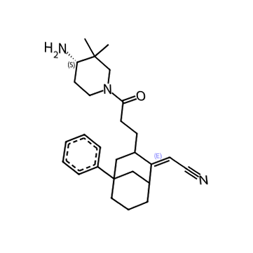 CC1(C)CN(C(=O)CCC2CC3(c4ccccc4)CCCC(C3)/C2=C\C#N)CC[C@@H]1N